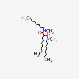 CCCCCCCCN(C)C(=O)C(CCCCCCC)C(=O)N(C)CCCCCCCC